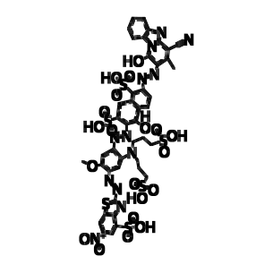 COc1cc(N=Nc2c(S(=O)(=O)O)cc3c(S(=O)(=O)O)c(N=Nc4c(C)c(C#N)c5nc6ccccc6n5c4O)ccc3c2O)c(N(CCCS(=O)(=O)O)CCCS(=O)(=O)O)cc1N=Nc1nc2c(S(=O)(=O)O)cc([N+](=O)[O-])cc2s1